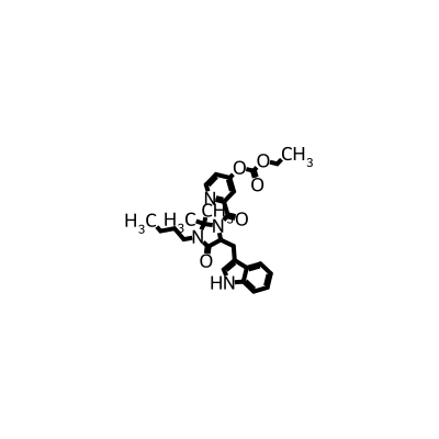 CCCCN1C(=O)C(Cc2c[nH]c3ccccc23)N(C(=O)c2cc(OC(=O)OCC)ccn2)C1(C)C